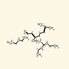 CC(C)=CCCC(C)=CC=O.CCOC(C)OCC.CCOCC